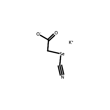 N#C[Se]CC(=O)[O-].[K+]